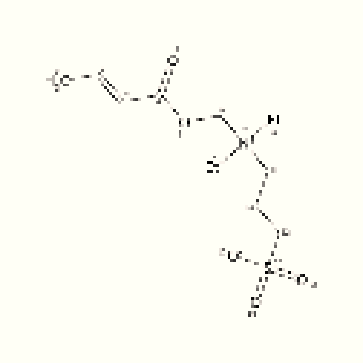 CC=CC(=O)OC[N+](CC)(CC)CCCS(=O)(=O)[O-]